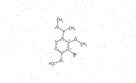 COc1ccc(C(C)OC)c(OC)c1Br